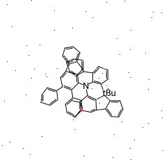 Cc1cc2c(c(N(c3c(-c4ccccc4)cccc3C(C)(C)C)c3c4c(cc(-c5ccccc5)c3-c3ccccc3)-c3ccccc3C4)c1C)Cc1ccccc1-2